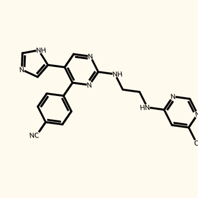 N#Cc1ccc(-c2nc(NCCNc3cc(Cl)ncn3)ncc2-c2cnc[nH]2)cc1